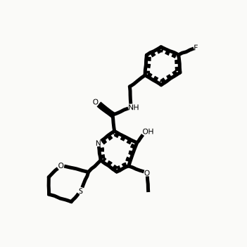 COc1cc(C2OCCCS2)nc(C(=O)NCc2ccc(F)cc2)c1O